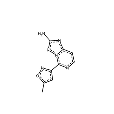 Cc1cc(-c2nccc3nc(N)nn23)no1